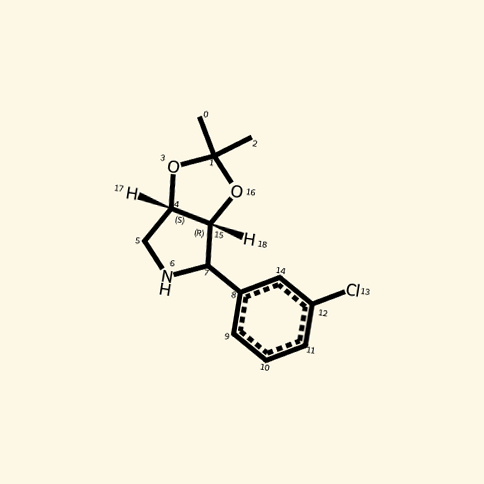 CC1(C)O[C@H]2CNC(c3cccc(Cl)c3)[C@H]2O1